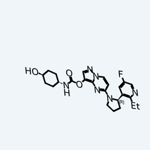 CCc1ncc(F)cc1[C@H]1CCCN1c1ccn2ncc(OC(=O)N[C@H]3CC[C@H](O)CC3)c2n1